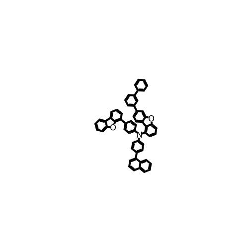 c1ccc(-c2cccc(-c3ccc4c(c3)oc3cccc(N(c5ccc(-c6cccc7ccccc67)cc5)c5ccc(-c6cccc7c6oc6ccccc67)cc5)c34)c2)cc1